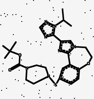 CC(C)n1ncnc1-c1cn2c(n1)-c1cc(SN3CCN(C(=O)OC(C)(C)C)CC3)ccc1OCC2